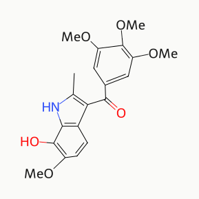 COc1cc(C(=O)c2c(C)[nH]c3c(O)c(OC)ccc23)cc(OC)c1OC